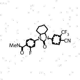 CNC(=O)c1ccc(N2C(=O)N(c3ccc(C#N)c(C(F)(F)F)c3)C3CCCCC32)cc1F